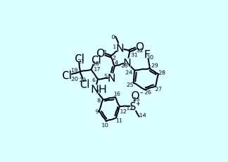 CN1C(=O)C(=NC(Nc2cccc([S+](C)[O-])c2)C(Cl)C(Cl)(Cl)Cl)N(c2ccccc2F)C1=O